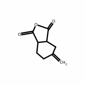 C=C1CCC2C(=O)OC(=O)C2C1